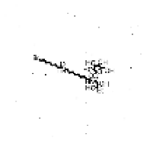 CC[C@@H](O)[C@@H](O)[C@H](CO[C@H]1OC(CO)[C@H](O)[C@H](O)C1O)NC(=O)CCCCCCCCNC(=O)CCCCCCCBr